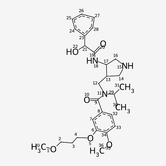 COCCCOc1cc(C(=O)N(CC2CNCC2NC(=O)C(O)c2ccccc2)C(C)C)ccc1OC